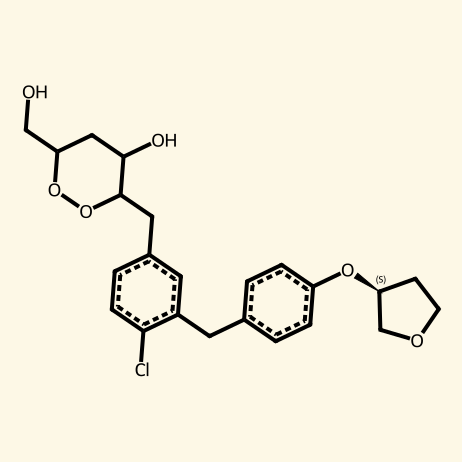 OCC1CC(O)C(Cc2ccc(Cl)c(Cc3ccc(O[C@H]4CCOC4)cc3)c2)OO1